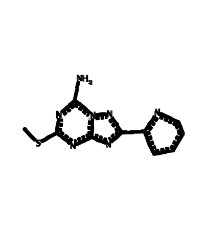 CSc1nc(N)n2nc(-c3ccccn3)nc2n1